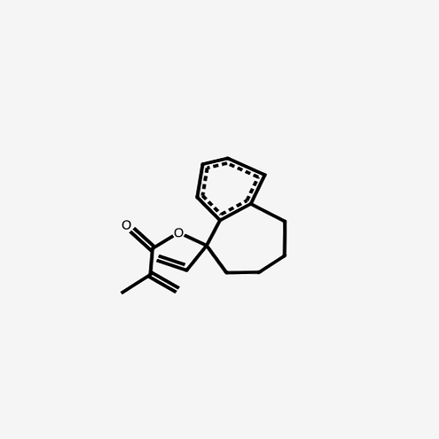 C=CC1(OC(=O)C(=C)C)CCCCc2ccccc21